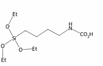 CCO[Si](CCCCNC(=O)O)(OCC)OCC